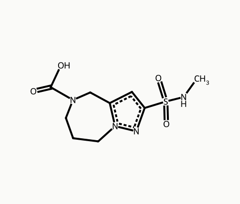 CNS(=O)(=O)c1cc2n(n1)CCCN(C(=O)O)C2